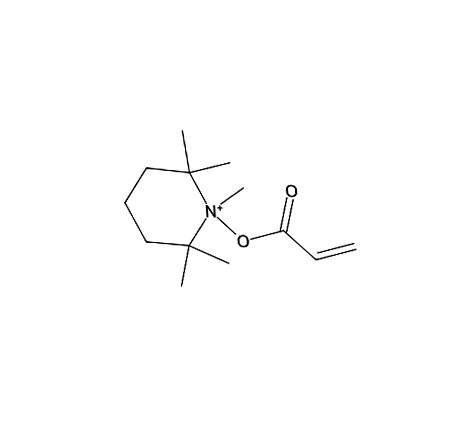 C=CC(=O)O[N+]1(C)C(C)(C)CCCC1(C)C